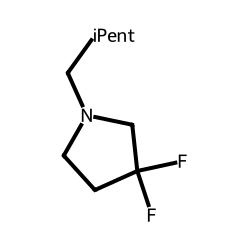 CCCC(C)CN1CCC(F)(F)C1